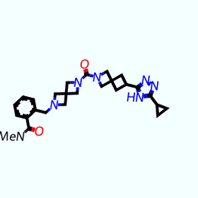 CNC(=O)c1ccccc1CN1CC2(C1)CN(C(=O)N1CC3(CC(c4nnc(C5CC5)[nH]4)C3)C1)C2